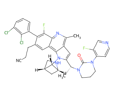 Cc1nc2c(F)c(-c3cccc(Cl)c3Cl)c(CCC#N)cc2c2c1cc([C@@H](C)N1CCCN(c3ccncc3F)C1=O)n2[C@H]1[C@H]2CN[C@@H]1C2